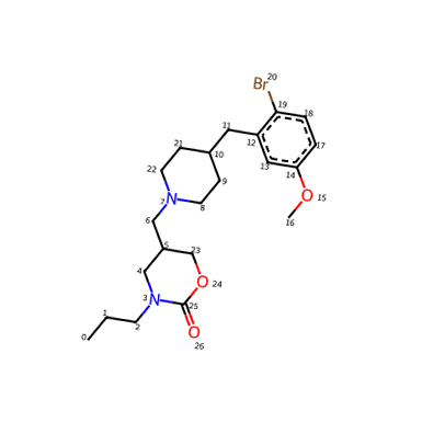 CCCN1CC(CN2CCC(Cc3cc(OC)ccc3Br)CC2)COC1=O